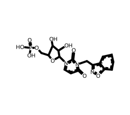 O=c1ccn(C2OC(COP(=O)(O)O)C(O)C2O)c(=O)n1Cc1noc2ccccc12